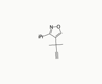 C#CC(C)(C)c1[c]onc1C(C)C